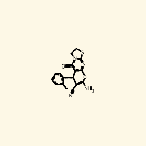 Cc1ccccc1C1C(C#N)=C(N)Oc2nc3n(c(=O)c21)CCS3